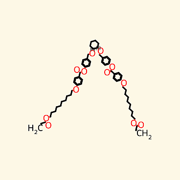 C=CC(=O)OCCCCCCCCCCOc1ccc(C(=O)Oc2ccc(CO[C@@H]3CCCC[C@H]3OCc3ccc(OC(=O)c4ccc(OCCCCCCCCCCOC(=O)C=C)cc4)cc3)cc2)cc1